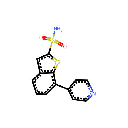 NS(=O)(=O)c1cc2cccc(-c3ccncc3)c2s1